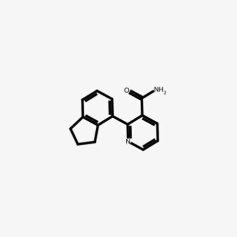 NC(=O)c1cccnc1-c1cccc2c1CCC2